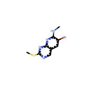 [CH2]Nc1nc2nc(SC)ncc2cc1Br